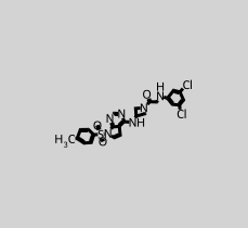 Cc1ccc(S(=O)(=O)n2ccc3c(NC4CN(C(=O)CNc5cc(Cl)cc(Cl)c5)C4)ncnc32)cc1